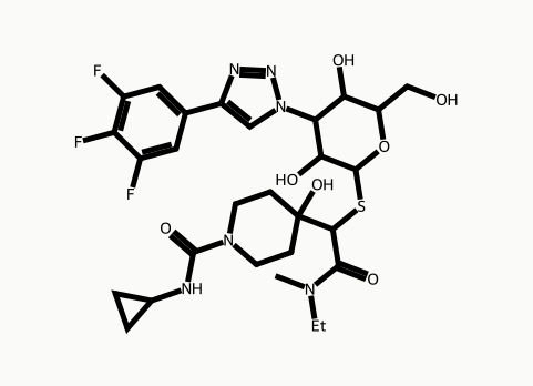 CCN(C)C(=O)C(SC1OC(CO)C(O)C(n2cc(-c3cc(F)c(F)c(F)c3)nn2)C1O)C1(O)CCN(C(=O)NC2CC2)CC1